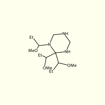 CCC(OC)N1CNCNC1(C(CC)OC)C(CC)OC